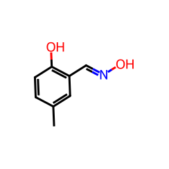 Cc1ccc(O)c(C=NO)c1